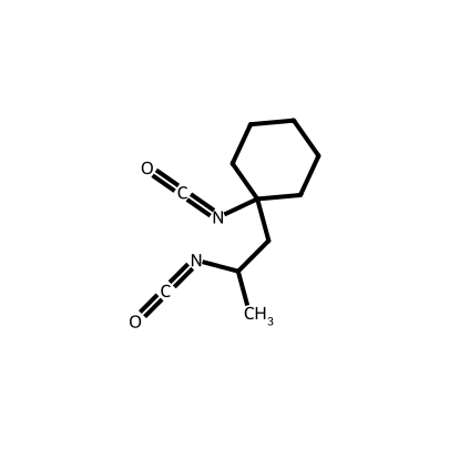 CC(CC1(N=C=O)CCCCC1)N=C=O